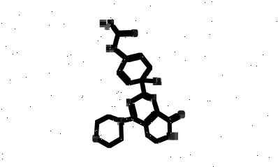 CCC1(c2nc3c(c(N4CCOCC4)n2)CCNC3=O)C=CC(NC(N)=O)=CC1